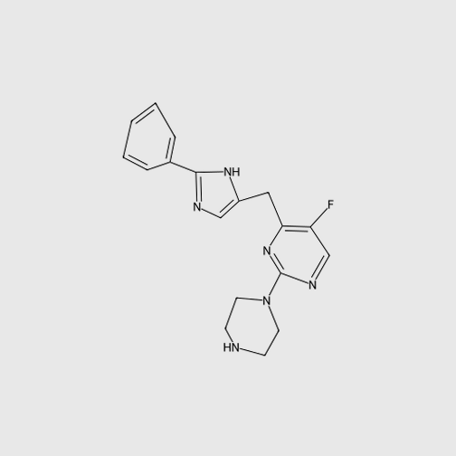 Fc1cnc(N2CCNCC2)nc1Cc1cnc(-c2ccccc2)[nH]1